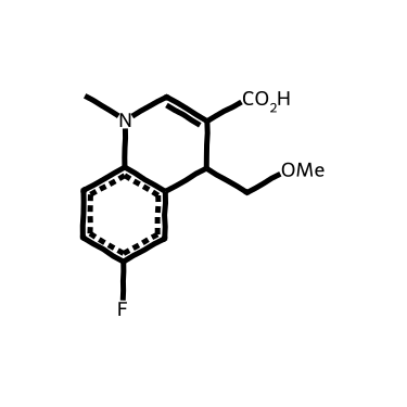 COCC1C(C(=O)O)=CN(C)c2ccc(F)cc21